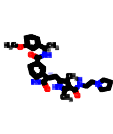 COc1cccc([C@@H](C)NC(=O)c2ccc3c(c2)/C(=C/c2[nH]c(C)c(C(=O)NCCN4CCCC4)c2C)C(=O)N3)c1